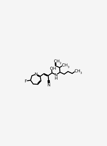 C=CC(C)C(CCCC)NC(O)/C(C#N)=C/C1=NCC(F)CC=C1